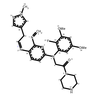 C=Nc1nc(N(CC(=O)N2CCNCC2)c2cc(OC)cc(OC)c2F)ccc1/N=C\Cc1cnn(C)c1